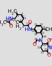 C=C(/C=C\C(=C)CC(=O)Nc1ccc(C)c(CN(C=O)C2CCC(=O)NC2=O)c1)CNC(C)=O